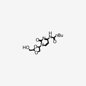 CCCCC(=O)Nc1ccn(C2COC(CO)O2)c(=O)n1